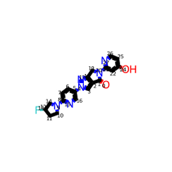 O=C1c2cn(-c3ccc(N4CC[C@@H](F)C4)nc3)nc2CN1c1cc(O)ccn1